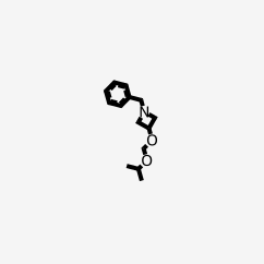 CC(C)OCOC1CN(Cc2ccccc2)C1